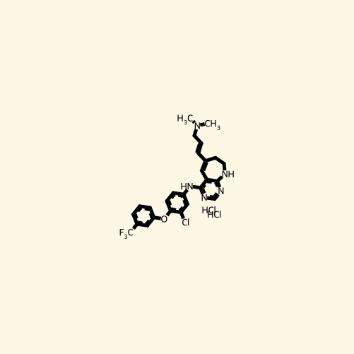 CN(C)CC=CC1=Cc2c(ncnc2Nc2ccc(Oc3cccc(C(F)(F)F)c3)c(Cl)c2)NCC1.Cl.Cl